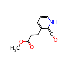 COC(=O)CCC1=CC=CNC1=C=O